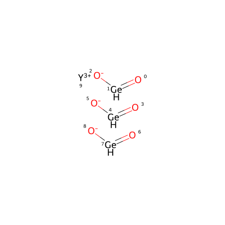 [O]=[GeH][O-].[O]=[GeH][O-].[O]=[GeH][O-].[Y+3]